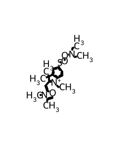 CCN(CC)OOSc1ccc2c(c1)C(C)(C)C(C=C1OC=C(C)N1C)=[N+]2CC